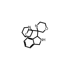 c1ccc2c(c1)CNC2C1(C2CC3CCN2CC3)COCC[N]1